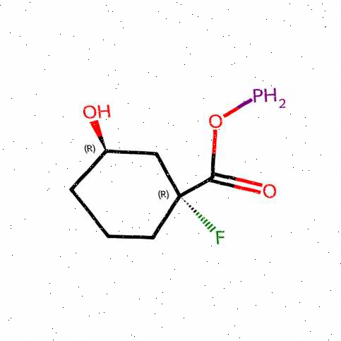 O=C(OP)[C@@]1(F)CCC[C@@H](O)C1